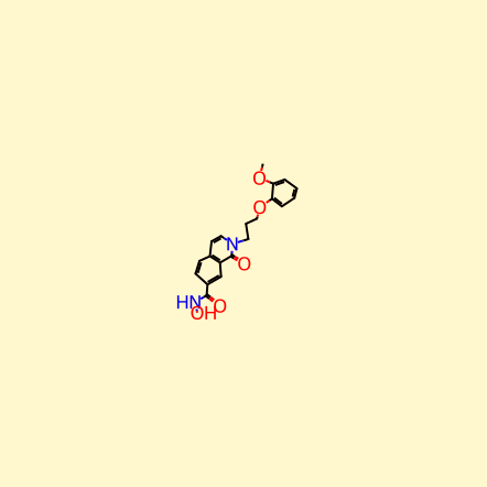 COc1ccccc1OCCCn1ccc2ccc(C(=O)NO)cc2c1=O